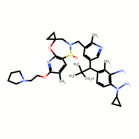 Cc1cc2c(nc1OCCN1CCCC1)OC1(CC1)CN(Cc1cc(C(c3ccc(N(N)C4CC4)c(N)c3C)C(C)(C)C(=O)O)cnc1C)[S+]2[O-]